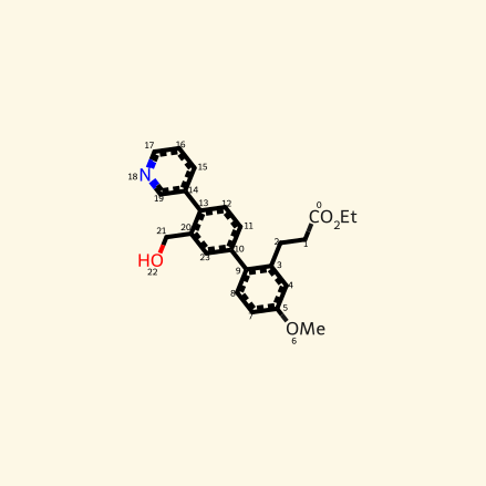 CCOC(=O)CCc1cc(OC)ccc1-c1ccc(-c2cccnc2)c(CO)c1